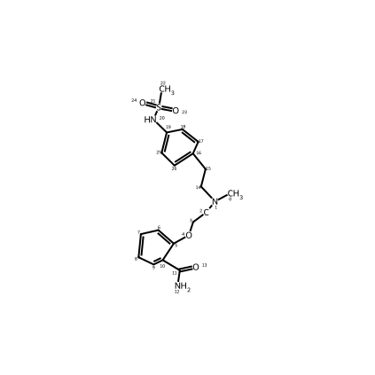 CN(CCOc1ccccc1C(N)=O)CCc1ccc(NS(C)(=O)=O)cc1